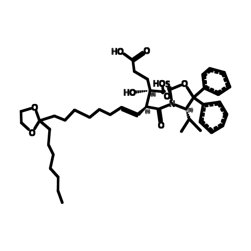 CCCCCCCC1(CCCCCCC=C[C@H](C(=O)N2C(=S)OC(c3ccccc3)(c3ccccc3)[C@@H]2C(C)C)[C@@](O)(CCC(=O)O)C(=O)O)OCCO1